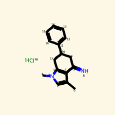 Cc1cn(C)c2c1C(=N)CC(c1ccccc1)C2.Cl